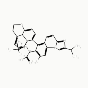 Cc1cc2c(ccc3nc(C(C)C)cn32)c(C2=CC=C3OCCC4=CC=NC2(C)C43)c1[C@H](OC(C)(C)C)C(=O)O